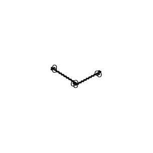 C=C(C)C(=O)OCCCCCCCCCCCCCCCC(=O)OC(=O)CCCCCCCCCCCCCCCOC(=O)C(=C)C